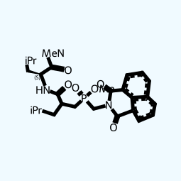 CNC(=O)[C@H](CC(C)C)NC(=O)C(CC(C)C)CP(=O)(CN1C(=O)c2cccc3cccc(c23)C1=O)OC